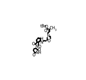 CN(CCN1CCO[C@@H](CCNc2cccc3c2C(=O)N(C2CCC(=O)NC2=O)C3=O)C1)C(=O)OC(C)(C)C